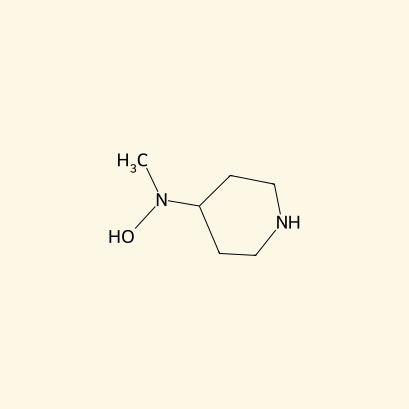 CN(O)C1CCNCC1